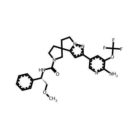 COC[C@@H](NC(=O)N1CCC2(CCn3nc(-c4cnc(N)c(OC(F)(F)F)c4)cc32)C1)c1ccccc1